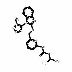 CC(C)OC(=O)Nc1cccc(COc2nc3ccccc3n2-c2nnnn2C)n1